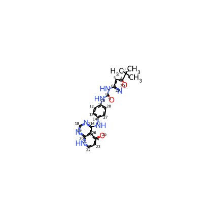 CC(C)(C)c1cc(NC(=O)Nc2ccc(Nc3ncnc4[nH]ccc(=O)c34)cc2)no1